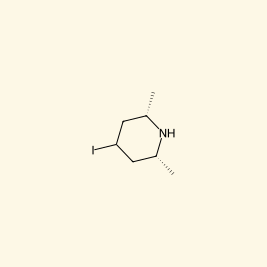 C[C@@H]1CC(I)C[C@H](C)N1